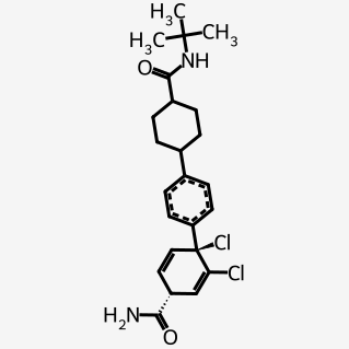 CC(C)(C)NC(=O)C1CCC(c2ccc([C@@]3(Cl)C=C[C@@H](C(N)=O)C=C3Cl)cc2)CC1